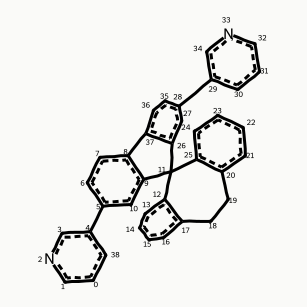 c1cncc(-c2ccc3c(c2)C2(c4ccccc4CCc4ccccc42)c2cc(-c4cccnc4)ccc2-3)c1